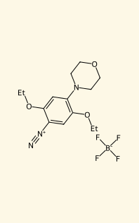 CCOc1cc(N2CCOCC2)c(OCC)cc1[N+]#N.F[B-](F)(F)F